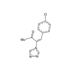 CC(C)(C)C(=O)/C(=C\c1ccc(Cl)cc1)n1cnnc1